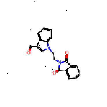 O=Cc1cn(CCN2C(=O)c3ccccc3C2=O)c2ccccc12